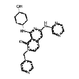 O=c1c2c(N[C@H]3CC[C@@H](O)CC3)nc(Nc3cnccn3)cc2ccn1Cc1ccncc1